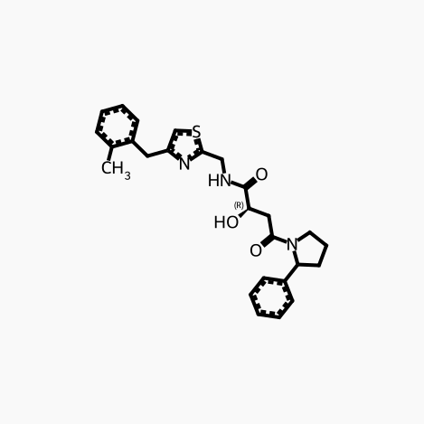 Cc1ccccc1Cc1csc(CNC(=O)[C@H](O)CC(=O)N2CCCC2c2ccccc2)n1